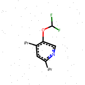 CC(C)c1cc(C(C)C)c(OC(F)F)cn1